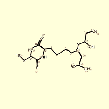 CCC(O)CN(CCCCC1NC(=O)C(CS)NC1=O)CC(C)O